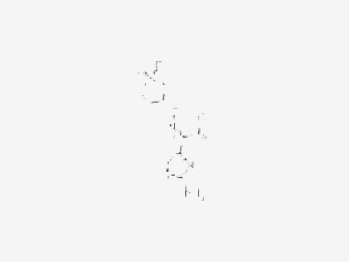 Nc1nc(/C(=N/OC2CCS(=O)(=O)C2)C(=O)O)cs1